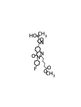 COC(=O)CCCCc1nc2cc(-c3cc([C@@H](C)O)on3)ccc2c(=O)n1-c1ccc(F)cc1